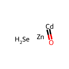 [O]=[Cd].[SeH2].[Zn]